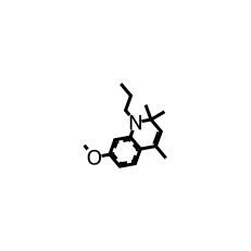 CCCN1c2cc(OC)ccc2C(C)=CC1(C)C